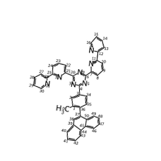 Cc1cc(-c2nc(-c3cccc(-c4ccccn4)n3)nc(-c3cccc(-c4ccccn4)n3)n2)ccc1-c1cc2ccccc2c2ccccc12